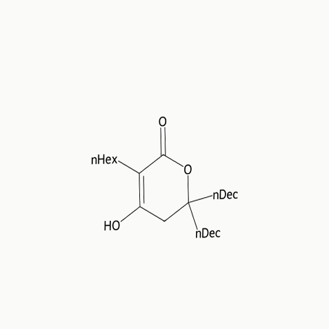 CCCCCCCCCCC1(CCCCCCCCCC)CC(O)=C(CCCCCC)C(=O)O1